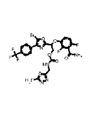 Cc1nnc(CNC(=O)OCC(Oc2ccc(F)c(C(N)=O)c2F)c2nc(-c3ccc(C(F)(F)F)cc3)c(Br)o2)o1